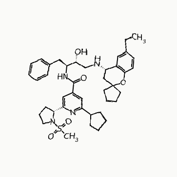 CCc1ccc2c(c1)[C@@H](NC[C@@H](O)[C@H](Cc1ccccc1)NC(=O)c1cc(C3CCCC3)nc([C@H]3CCCN3S(C)(=O)=O)c1)CC1(CCCC1)O2